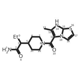 CCC(C(N)=O)C1CCN(C(=O)C2=C(C)NC3SC=CN23)CC1